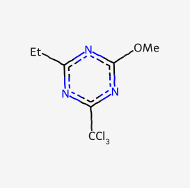 CCc1nc(OC)nc(C(Cl)(Cl)Cl)n1